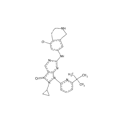 CC(C)(C)c1cccc(-n2c3nc(Nc4cc(Cl)c5c(c4)CNCC5)ncc3c(=O)n2C2CC2)n1